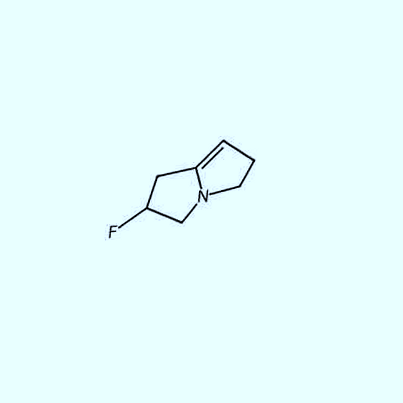 FC1CC2=CCCN2C1